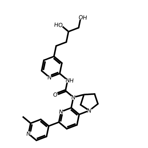 Cc1cc(-c2ccc3c(n2)N(C(=O)Nc2cc(CCC(O)CO)ccn2)C2CCN3C2)ccn1